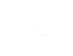 O=C1C=CC(=S)C(N2c3ccccc3[S+]([O-])c3ccccc32)=C1